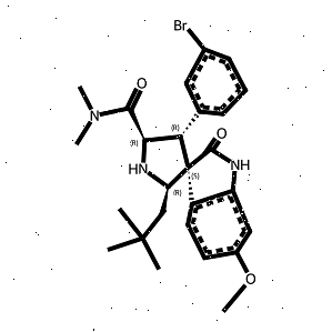 COc1ccc2c(c1)NC(=O)[C@]21[C@@H](CC(C)(C)C)N[C@@H](C(=O)N(C)C)[C@@H]1c1cccc(Br)c1